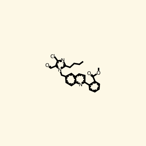 CCCCc1nc(Cl)c(C=O)n1Cc1ccc2nc(-c3ccccc3C(=O)OC)ccc2c1